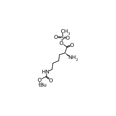 CC(C)(C)OC(=O)NCCCC[C@H](N)C(=O)OS(C)(=O)=O